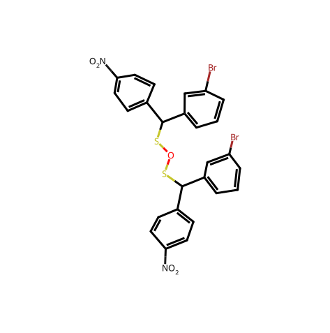 O=[N+]([O-])c1ccc(C(SOSC(c2ccc([N+](=O)[O-])cc2)c2cccc(Br)c2)c2cccc(Br)c2)cc1